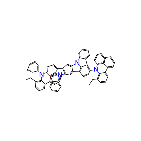 CCc1cccc(-c2ccccc2)c1N(c1ccccc1)c1ccc2c3cc4c(cc3n3c5ccccc5c1c23)c1ccc(N(c2ccccc2)c2c(CC)cccc2-c2ccccc2)c2c3ccccc3n4c12